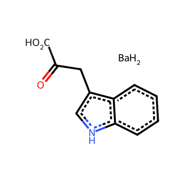 O=C(O)C(=O)Cc1c[nH]c2ccccc12.[BaH2]